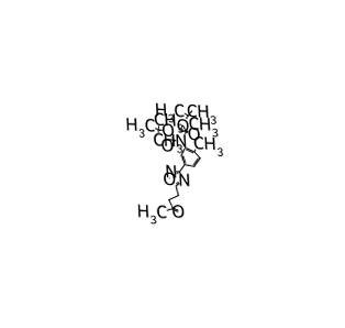 CC(=O)CCc1nc(-c2ccc(C)c(N(C(=O)OC(C)(C)C)C(=O)OC(C)(C)C)c2)no1